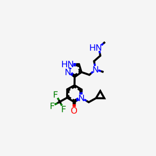 CNCCN(C)Cc1c[nH]nc1-c1cc(C(F)(F)F)c(=O)n(CC2CC2)c1